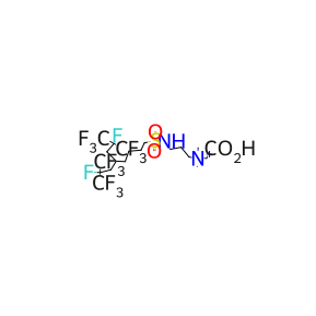 C[N+](C)(CCCNS(=O)(=O)CCCCC(CC(F)(C(F)(F)F)C(F)(F)F)CC(F)(C(F)(F)F)C(F)(F)F)CC(=O)O